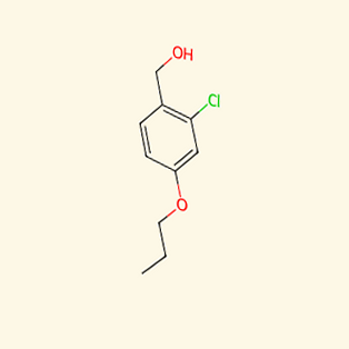 CCCOc1ccc(CO)c(Cl)c1